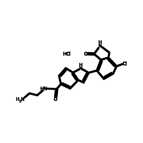 Cl.NCCNC(=O)c1ccc2[nH]c(-c3ccc(Cl)c4c3C(=O)NC4)cc2c1